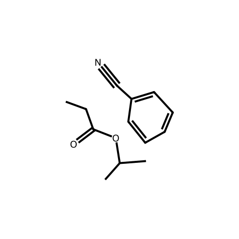 CCC(=O)OC(C)C.N#Cc1ccccc1